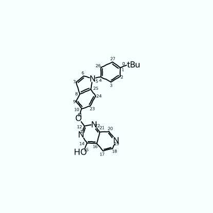 CC(C)(C)c1ccc(-n2ccc3cc(Oc4nc(O)c5ccncc5n4)ccc32)cc1